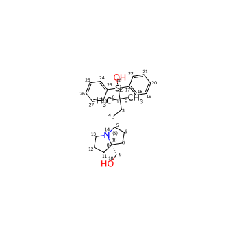 CC(C)(CC[C@@H]1CC[C@@]2(CO)CCCN12)[Si](O)(c1ccccc1)c1ccccc1